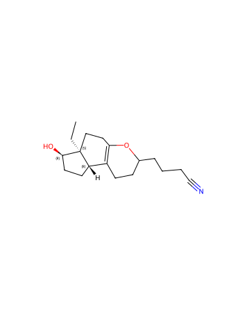 CC[C@]12CCC3=C(CCC(CCCC#N)O3)[C@@H]1CC[C@H]2O